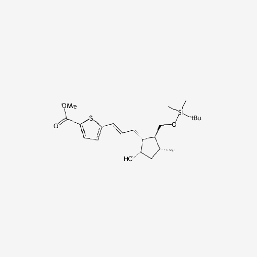 COC(=O)c1ccc(C=CC[C@@H]2[C@@H](CO[Si](C)(C)C(C)(C)C)[C@H](C)C[C@@H]2O)s1